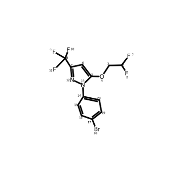 FC(F)COc1cc(C(F)(F)F)nn1-c1ccc(Br)cc1